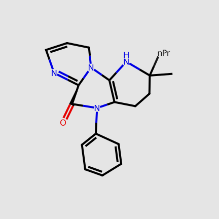 CCCC1(C)CCC2=C(N1)N1CC=CN=C1C(=O)N2c1ccccc1